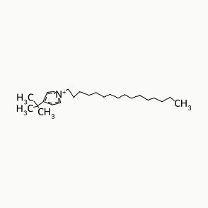 CCCCCCCCCCCCCCCC[n+]1ccc(C(C)(C)C)cc1